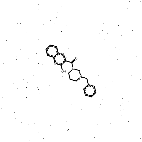 O=C(c1nc2ccccc2nc1O)N1CCCN(Cc2ccccc2)C1